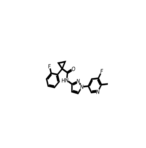 Cc1ncc(-n2ccc(NC(=O)C3(c4ccccc4F)CC3)n2)cc1F